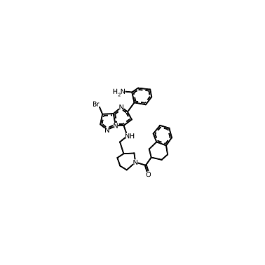 Nc1ccccc1-c1cc(NCC2CCCN(C(=O)C3CCc4ccccc4C3)C2)n2ncc(Br)c2n1